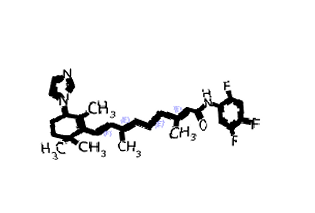 CC1=C(/C=C/C(C)=C/C=C/C(C)=C/C(=O)Nc2cc(F)c(F)cc2F)C(C)(C)CCC1n1ccnc1